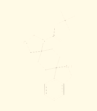 CC(C)(C)OC(=O)N1CNCC12CCC1(CC2)NCc2ccccc21